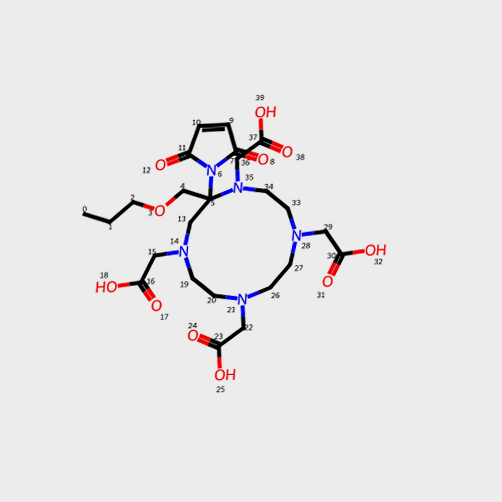 CCCOCC1(N2C(=O)C=CC2=O)CN(CC(=O)O)CCN(CC(=O)O)CCN(CC(=O)O)CCN1CC(=O)O